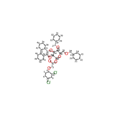 O=C(COc1ccc(Cl)cc1Cl)O[C@@H]1O[C@H](COCc2ccccc2)[C@@H](OCc2ccccc2)[C@H](OCc2ccccc2)[C@H]1OCc1ccccc1